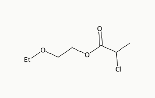 CCOC[CH]OC(=O)C(C)Cl